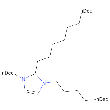 CCCCCCCCCCCCCCCCC1N(CCCCCCCCCC)C=CN1CCCCCCCCCCCCCC